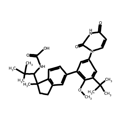 COc1c(-c2ccc3c(c2)CCC3(C)C(NC(=O)O)C(C)(C)C)cc(-n2ccc(=O)[nH]c2=O)cc1C(C)(C)C